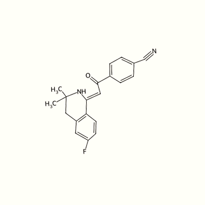 CC1(C)Cc2cc(F)ccc2C(=CC(=O)c2ccc(C#N)cc2)N1